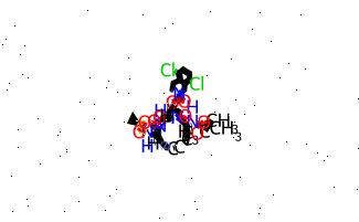 CC(C)(C)OC(=O)N[C@H]1CCCCC/C=C\[C@@H]2C[C@@]2(C(=O)NS(=O)(=O)C2CC2)NC(=O)[C@@H]2C[C@@H](OC(=O)N3CCc4c(Cl)ccc(Cl)c4C3)CN2C1=O